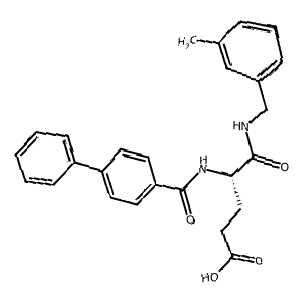 Cc1cccc(CNC(=O)[C@H](CCC(=O)O)NC(=O)c2ccc(-c3ccccc3)cc2)c1